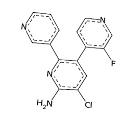 Nc1nc(-c2cccnc2)c(-c2ccncc2F)cc1Cl